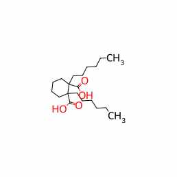 CCCCCCC1(C(=O)O)CCCCC1(CCCCCC)C(=O)O